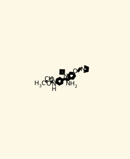 CC(C)OC(=O)Nc1ccc(-c2c(N)c3ccc(OCCn4cccc4)cc3n2C2CCC2)cc1